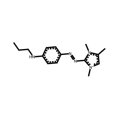 CCCNc1ccc(N=Nc2n(C)c(C)c[n+]2C)cc1